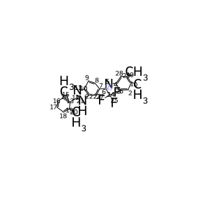 Cc1ccc(/N=C(/c2ccc3nc(-c4c(C)cccc4C)[nH]c3c2)C(F)(F)F)cc1C